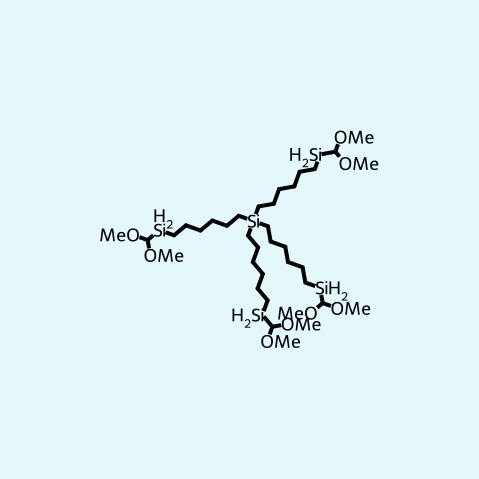 COC(OC)[SiH2]CCCCCC[Si](CCCCCC[SiH2]C(OC)OC)(CCCCCC[SiH2]C(OC)OC)CCCCCC[SiH2]C(OC)OC